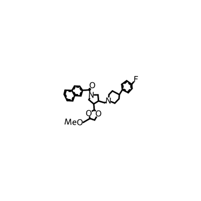 COCC1COC(C2CN(C(=O)c3ccc4ccccc4c3)CC2CN2CCC(c3ccc(F)cc3)CC2)O1